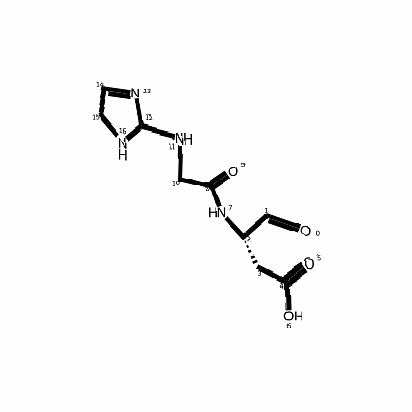 O=[C][C@H](CC(=O)O)NC(=O)CNC1N=CCN1